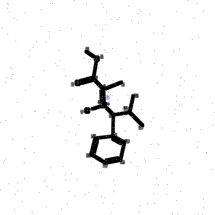 COC(=O)/C(C)=[N+](\[O-])C(c1ccccc1)C(C)C